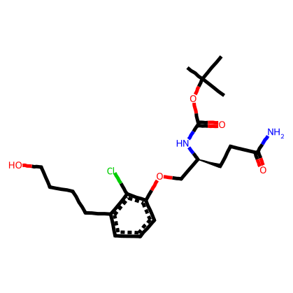 CC(C)(C)OC(=O)N[C@@H](CCC(N)=O)COc1cccc(CCCCO)c1Cl